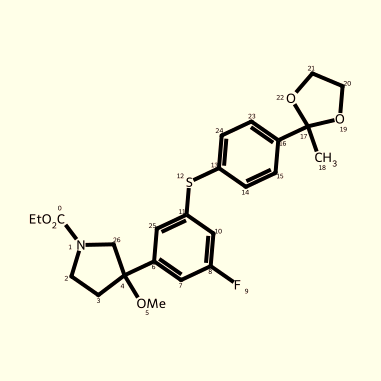 CCOC(=O)N1CCC(OC)(c2cc(F)cc(Sc3ccc(C4(C)OCCO4)cc3)c2)C1